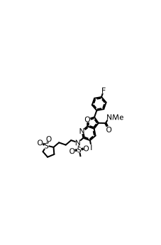 CNC(=O)c1c(-c2ccc(F)cc2)oc2nc(N(CCCC3CCCS3(=O)=O)S(C)(=O)=O)c(I)cc12